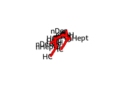 C#CC#CC#CC#CC#CC#CC(=O)O[C@H](CCCCCCC)CCOC[C@H](COP(=O)(O)OCCNC(=O)NCCOP(=O)(O)OC[C@@H](COCC[C@@H](CCCCCCC)OC(=O)C#CC#CC#CC#CC#CC#C)NC(=O)CC(=O)CCCCCCCCCCC)NC(=O)CC(=O)CCCCCCCCCCC